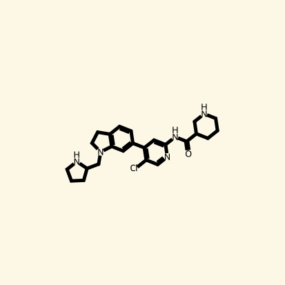 O=C(Nc1cc(-c2ccc3c(c2)N(CC2CCCN2)CC3)c(Cl)cn1)C1CCCNC1